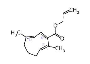 C=CCOC(=O)C1=C/C=C(\C)CCC\C=C\1C